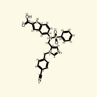 N#Cc1ccc(Cn2cncc2CN(c2ccc3sc(C(=O)O)cc3c2)S(=O)(=O)c2ccccc2)cc1